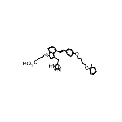 Cc1ccccc1OCCCCOc1ccc(C=Cc2cccc3c2c(Cc2nnn[nH]2)cn3CCCC(=O)O)cc1